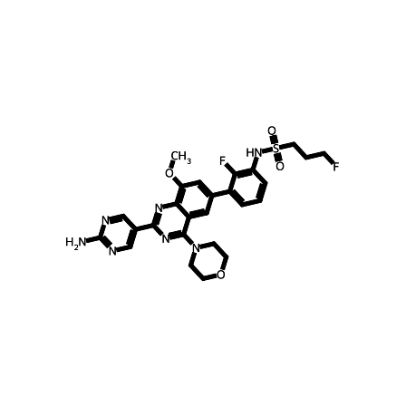 COc1cc(-c2cccc(NS(=O)(=O)CCCF)c2F)cc2c(N3CCOCC3)nc(-c3cnc(N)nc3)nc12